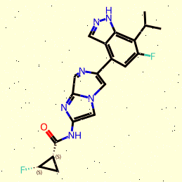 CC(C)c1c(F)cc(-c2cn3cc(NC(=O)[C@@H]4C[C@@H]4F)nc3cn2)c2cn[nH]c12